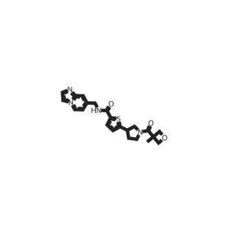 CC1(C(=O)N2CCC(c3ccc(C(=O)NCc4ccn5ccnc5c4)s3)C2)COC1